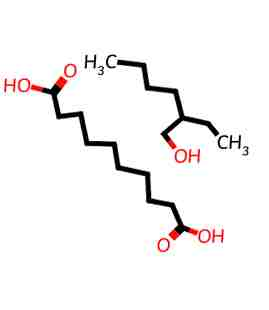 CCCCC(CC)CO.O=C(O)CCCCCCCCC(=O)O